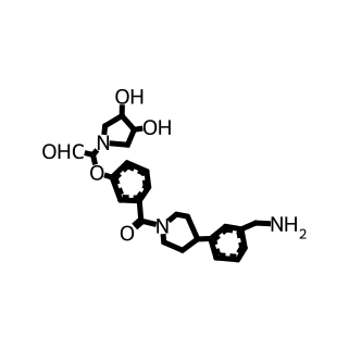 NCc1cccc(C2CCN(C(=O)c3cccc(OC(C=O)N4CC(O)C(O)C4)c3)CC2)c1